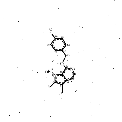 CCCn1c(C)c(C)c2ccnc(OCc3ccc(F)cc3)c21